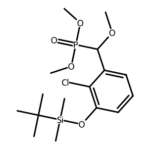 COC(c1cccc(O[Si](C)(C)C(C)(C)C)c1Cl)P(=O)(OC)OC